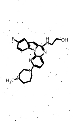 CN1CCCN(c2ccc3nc(NCCO)c4cc5cc(F)ccc5n4c3n2)CC1